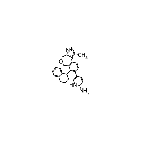 Cc1nnc2n1-c1ccc(C3=CNC(N)C=C3)c(C3CCCc4ccccc43)c1COC2